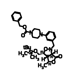 C[C@@H]1OC(=O)[C@@H]2[C@H]1[C@H](CO[Si](C)(C)C(C)(C)C)ON2Cc1cccc(N2CCN(C(=O)OCc3ccccc3)CC2)c1